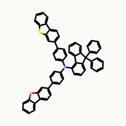 c1ccc(C2(c3ccccc3)c3ccccc3-c3c(N(c4ccc(-c5ccc6c(c5)oc5ccccc56)cc4)c4ccc(-c5ccc6c(c5)sc5ccccc56)cc4)cccc32)cc1